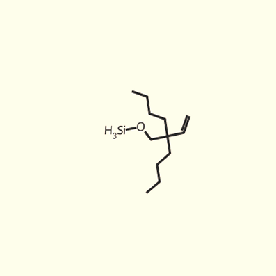 C=CC(CCCC)(CCCC)CO[SiH3]